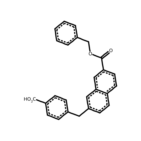 O=C(O)c1ccc(Cc2ccc3ccc(C(=O)OCc4ccccc4)cc3c2)cc1